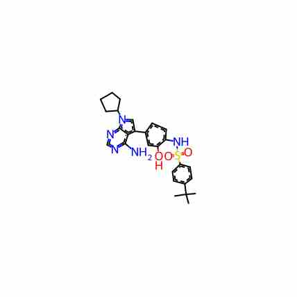 CC(C)(C)c1ccc(S(=O)(=O)Nc2ccc(-c3cn(C4CCCC4)c4ncnc(N)c34)cc2O)cc1